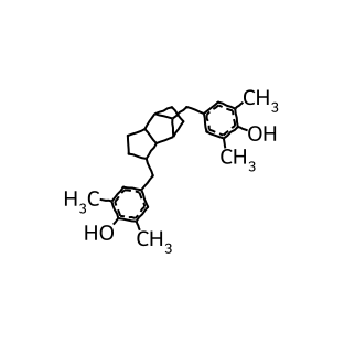 Cc1cc(CC2CCC3C4CCC(C4Cc4cc(C)c(O)c(C)c4)C23)cc(C)c1O